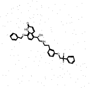 O=c1ccc2c([C@@H](O)CNCCc3cccc(OCC(F)(F)c4ccccc4)c3)ccc(OCc3ccccc3)c2[nH]1